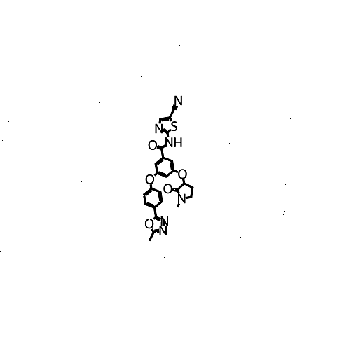 Cc1nnc(-c2ccc(Oc3cc(OC4CCN(C)C4=O)cc(C(=O)Nc4ncc(C#N)s4)c3)cc2)o1